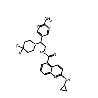 Nc1ncc(C(CNC(=O)c2cccc3nc(NC4CC4)ccc23)N2CCC(F)(F)CC2)cn1